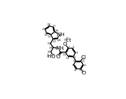 CCOc1ccc(-c2ccc(Cl)cc2Cl)cc1C(=O)NC(CO)Cc1c[nH]c2ccccc12